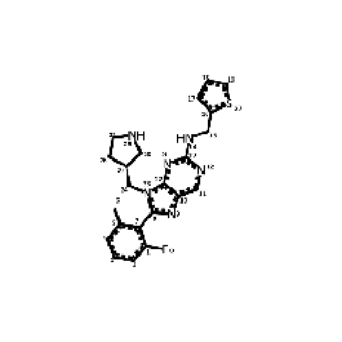 Fc1cccc(I)c1-c1nc2cnc(NCc3cccs3)nc2n1C[C@H]1CCNC1